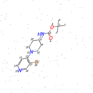 CC(C)(C)OC(=O)NC1CCN(c2ccncc2Br)CC1